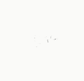 CCCCCCCCON1C(C)(C)CC(NC(=O)C(=O)NN)CC1(C)C